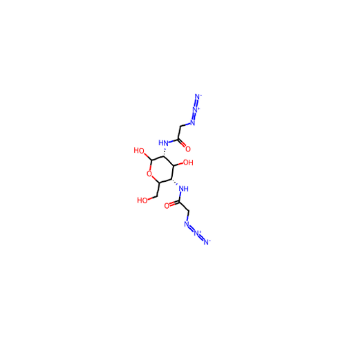 [N-]=[N+]=NCC(=O)N[C@@H]1C(CO)OC(O)[C@H](NC(=O)CN=[N+]=[N-])C1O